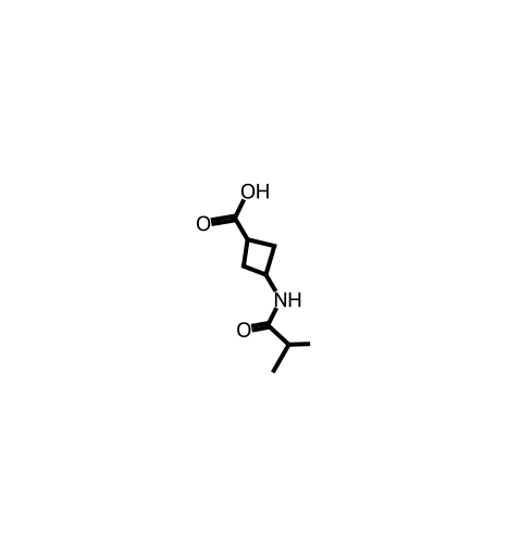 CC(C)C(=O)NC1CC(C(=O)O)C1